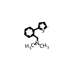 CN(C)Cc1ccccc1-c1cc[c]s1